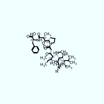 CC[C@H](C)[C@@H](C(NC)[C@H](C(N)[C@H](C(C)C)N(C)C)[C@H](C)N=[N+]=[N-])[C@@H](CC(=O)N1CCC[C@H]1[C@H](OC)[C@@H](C)C(=O)N[C@@H](Cc1ccccc1)C(=O)O)OC